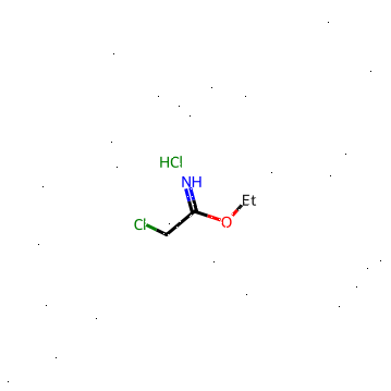 CCOC(=N)CCl.Cl